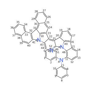 c1ccc(N(c2ccccc2)c2cccc3c4cccc5c6c7c8cc9ccccc9c9c%10c%11ccccc%11ccc%10n(c7cnc6n(c23)c45)c89)cc1